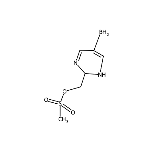 BC1=CNC(COS(C)(=O)=O)N=C1